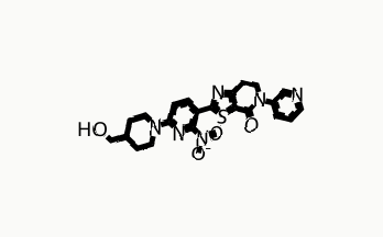 O=C1c2sc(-c3ccc(N4CCC(CO)CC4)nc3[N+](=O)[O-])nc2CCN1c1cccnc1